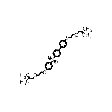 C=C(C)COCCOc1ccc(S(=O)(=O)c2ccc(-c3ccc(SCCOCC(=C)C)cc3)cc2)cc1